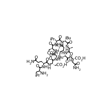 CC[C@H](C)[C@H](NC(=O)[C@H](C)NC(=O)[C@@H](NC(=O)[C@@H](NC(=O)[C@H](CC(=O)O)NC(=O)[C@H](CCCCN)NC(=O)[C@H](CC(=O)O)NC(=O)[C@H](CCC(N)=O)NC(=O)[C@@H](N)CC(C)C)C(C)C)[C@@H](C)CC)C(=O)N[C@@H](CC(N)=O)C(=O)O